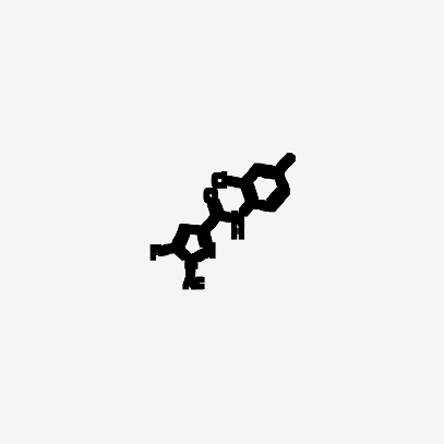 CC(=O)n1nc(C(=O)Nc2ccc(C)cc2Cl)cc1F